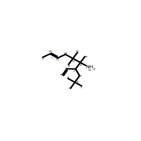 C=CC(CC(C)(C)C)C(C)(N)C(C)(C)C/C=C/C